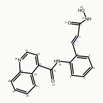 O=C(/C=C/c1ccccc1NC(=O)c1ccnc2ccccc12)NO